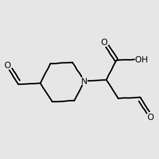 O=CCC(C(=O)O)N1CCC(C=O)CC1